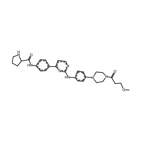 COCCC(=O)N1CCN(c2ccc(Nc3nccc(-c4ccc(NC(=O)C5CCCN5)cc4)n3)cc2)CC1